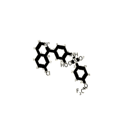 O=S(=O)(Nc1ccc(-c2nccc3ccc(Cl)cc23)cc1O)c1ccc(OC(F)(F)F)cc1